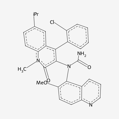 COc1ccc2ncccc2c1N(C(N)=O)c1c(-c2ccccc2Cl)c2cc(C(C)C)ccc2n(C)c1=O